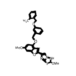 COc1cc(OCc2cccc(OCc3ccccc3C)c2)c2cc(-c3cn4c(n3)SC(OC)N4)oc2c1